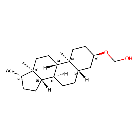 CC(=O)[C@H]1CC[C@H]2[C@@H]3CC[C@H]4C[C@H](OCO)CC[C@]4(C)[C@H]3CC[C@]12C